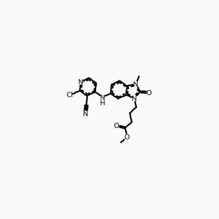 COC(=O)CCCn1c(=O)n(C)c2ccc(Nc3ccnc(Cl)c3C#N)cc21